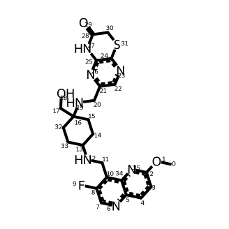 COc1ccc2ncc(F)c(CNC3CCC(CO)(NCc4cnc5c(n4)NC(=O)CS5)CC3)c2n1